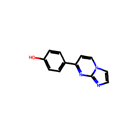 Oc1ccc(-c2ccn3ccnc3n2)cc1